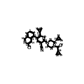 N#Cc1cc(-c2cccc3cnc(Cl)cc23)c(C2CC2)nc1N1CCN(C(=O)C2CC2)[C@H](C2CC2)C1